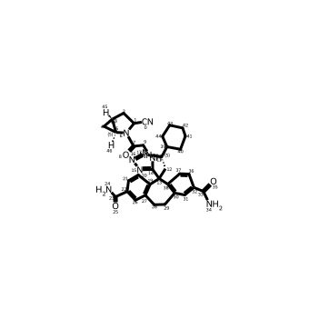 N#CC1C[C@@H]2C[C@@H]2N1C(=O)CN[C@@H](CC1(c2nnn[nH]2)c2ccc(C(N)=O)cc2CCc2cc(C(N)=O)ccc21)C1CCCCC1